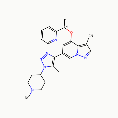 Cc1c(-c2cc(O[C@H](C)c3ccccn3)c3c(C#N)cnn3c2)nnn1C1CCN(C#N)CC1